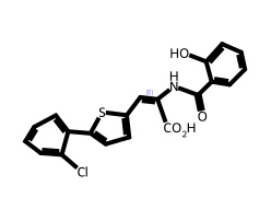 O=C(O)/C(=C\c1ccc(-c2ccccc2Cl)s1)NC(=O)c1ccccc1O